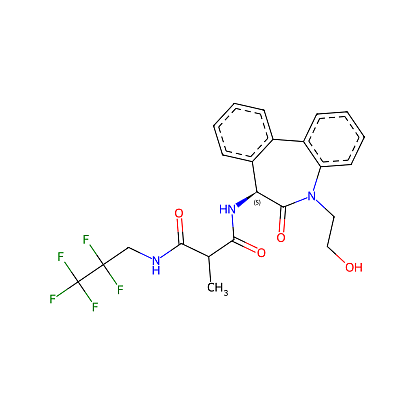 CC(C(=O)NCC(F)(F)C(F)(F)F)C(=O)N[C@@H]1C(=O)N(CCO)c2ccccc2-c2ccccc21